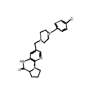 O=C1Nc2cc(CN3CCN(c4ccc(Cl)cc4)CC3)cnc2N2CCCC12